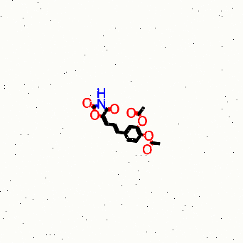 CC(=O)Oc1ccc(C=CC=C2OC(=O)NC2=O)cc1OC(C)=O